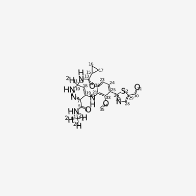 [2H]C([2H])([2H])NC(=O)C1=NNC([2H])(NC(=O)C2CC2)C=C1Nc1cccc(-c2ncc(C=O)s2)c1OC